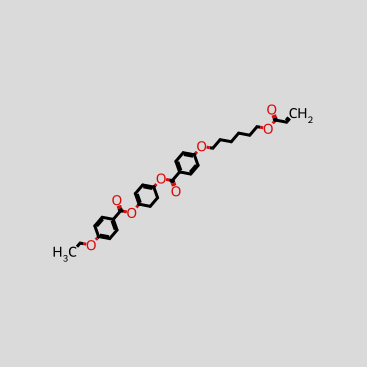 C=CC(=O)OCCCCCCOc1ccc(C(=O)OC2=CC=C(OC(=O)c3ccc(OCC)cc3)CC2)cc1